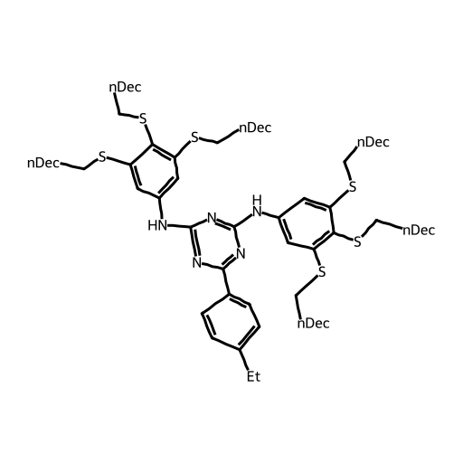 [CH2]Cc1ccc(-c2nc(Nc3cc(SCCCCCCCCCCC)c(SCCCCCCCCCCC)c(SCCCCCCCCCCC)c3)nc(Nc3cc(SCCCCCCCCCCC)c(SCCCCCCCCCCC)c(SCCCCCCCCCCC)c3)n2)cc1